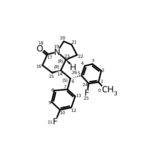 Cc1cccc([C@H](c2ccc(F)cc2)[C@H]2CCC(=O)N3CCC[C@H]23)c1F